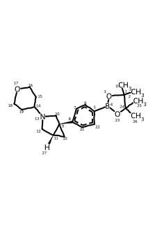 CC1(C)OB(c2ccc([C@@]34C[C@@H]3CN(C3CCOCC3)C4)cc2)OC1(C)C